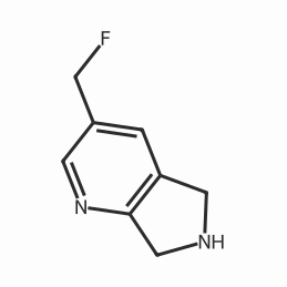 FCc1cnc2c(c1)CNC2